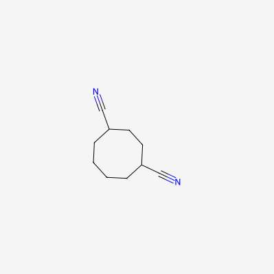 N#CC1CCCCC(C#N)CC1